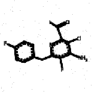 Nc1c(F)c(Cc2ccc(F)cc2)nc(C(=O)I)c1Cl